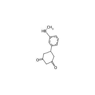 CBc1cccc(C2CC(=O)CC(=O)C2)c1